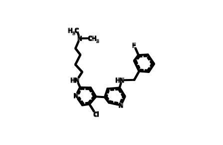 CN(C)CCCCNc1cc(-c2cncc(NCc3cccc(F)c3)c2)c(Cl)cn1